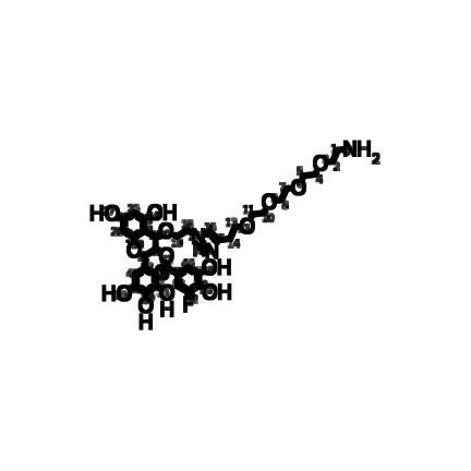 NCCOCCOCCOCCOCCc1cn(CCOC2c3c(O)cc(O)cc3OC(c3cc(O)c(O)c(O)c3)C2OC(=O)c2cc(O)c(O)c(F)c2)nn1